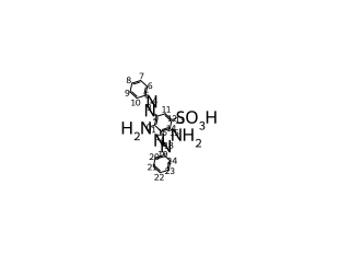 Nc1c(/N=N/c2ccccc2)cc(S(=O)(=O)O)c(N)c1/N=N/c1ccccc1